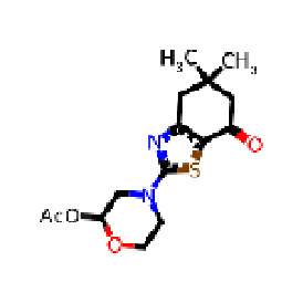 CC(=O)OC1CN(c2nc3c(s2)C(=O)CC(C)(C)C3)CCO1